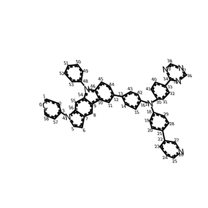 c1ccc(-n2ccc3cc4c5cc(-c6ccc(N(c7ccc(-c8cccnc8)cc7)c7ccc(-c8ncncn8)cc7)cc6)ccc5n(-c5ccccc5)c4cc32)cc1